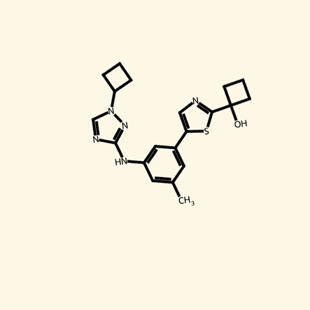 Cc1cc(Nc2ncn(C3CCC3)n2)cc(-c2cnc(C3(O)CCC3)s2)c1